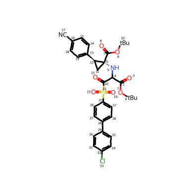 CC(C)(C)OC(=O)C(N[C@]1(C(=O)OC(C)(C)C)C[C@H]1c1ccc(C#N)cc1)C(=O)S(=O)(=O)c1ccc(-c2ccc(Cl)cc2)cc1